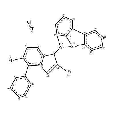 CCc1ccc2c(c1-c1ccccc1)C=C(C(C)C)[CH]2[Zr+2]1[c]2cccc3c2[SiH]1c1ccccc1-3.[Cl-].[Cl-]